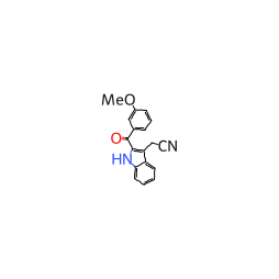 COc1cccc(C(=O)c2[nH]c3ccccc3c2CC#N)c1